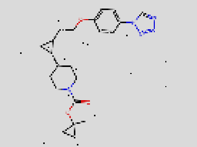 CC1(OC(=O)N2CCC([C@H]3CC3CCOc3ccc(-n4cnnn4)cc3)CC2)CC1